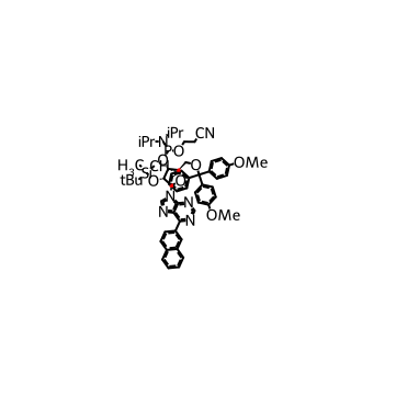 COc1ccc(C(OC[C@H]2O[C@@H](n3cnc4c(-c5ccc6ccccc6c5)ncnc43)[C@H](O[Si](C)(C)C(C)(C)C)[C@@H]2OP(OCCC#N)N(C(C)C)C(C)C)(c2ccccc2)c2ccc(OC)cc2)cc1